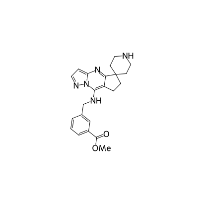 COC(=O)c1cccc(CNc2c3c(nc4ccnn24)C2(CCNCC2)CC3)c1